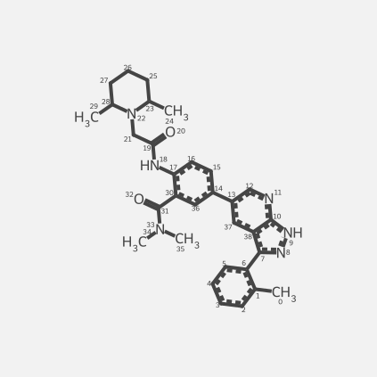 Cc1ccccc1-c1n[nH]c2ncc(-c3ccc(NC(=O)CN4C(C)CCCC4C)c(C(=O)N(C)C)c3)cc12